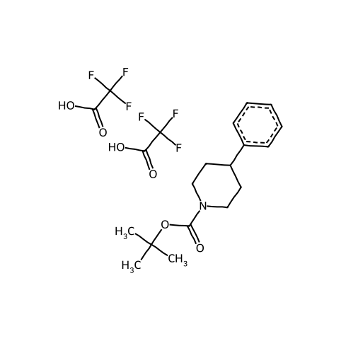 CC(C)(C)OC(=O)N1CCC(c2ccccc2)CC1.O=C(O)C(F)(F)F.O=C(O)C(F)(F)F